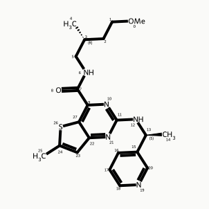 COCC[C@@H](C)CNC(=O)c1nc(N[C@@H](C)c2cccnc2)nc2cc(C)sc12